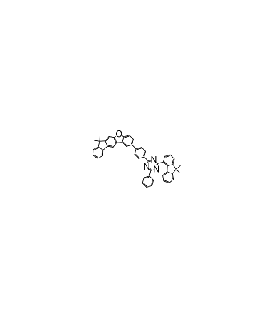 CC1(C)c2ccccc2-c2cc3c(cc21)oc1ccc(-c2ccc(-c4nc(-c5ccccc5)nc(-c5cccc6c5-c5ccccc5C6(C)C)n4)cc2)cc13